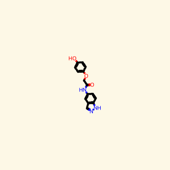 O=C(COc1ccc(O)cc1)Nc1ccc2[nH]ncc2c1